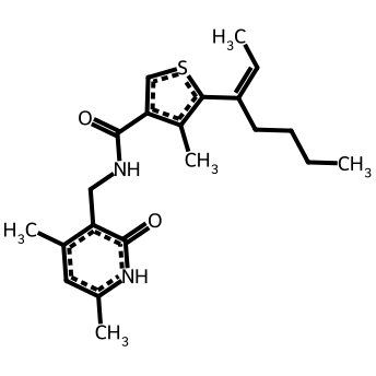 C/C=C(/CCCC)c1scc(C(=O)NCc2c(C)cc(C)[nH]c2=O)c1C